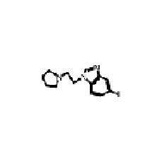 Ic1ccc2c(c1)ncn2CCN1CCCC1